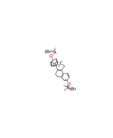 CCOC(=O)CC1=C(c2ccc(O[Si](C)(C)C(C)(C)C)cc2)CCc2cc(O[Si](C)(C)C(C)(C)C)ccc21